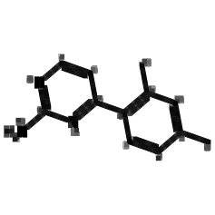 Cc1ccc(-c2ccnc(N)n2)c(C)c1